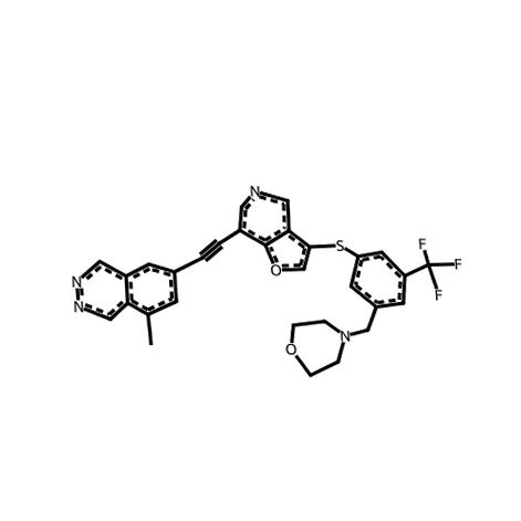 Cc1cc(C#Cc2cncc3c(Sc4cc(CN5CCOCC5)cc(C(F)(F)F)c4)coc23)cc2cnncc12